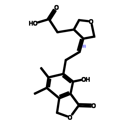 Cc1c(C)c2c(c(O)c1C/C=C1/COCC1CC(=O)O)C(=O)OC2